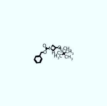 CC(C)(C)[Si](C)(C)OC1CN(C(=O)OCc2ccccc2)C1